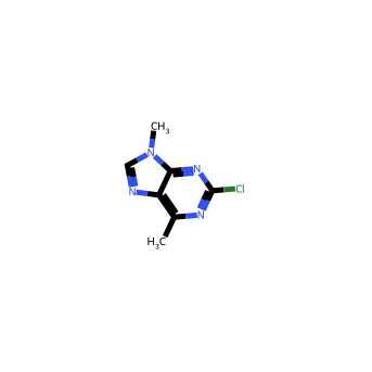 Cc1nc(Cl)nc2c1ncn2C